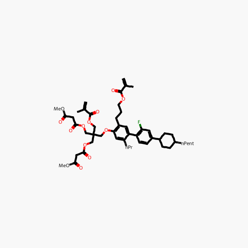 C=C(C)C(=O)OCCCc1cc(-c2ccc(C3CCC(CCCCC)CC3)cc2F)c(CCC)cc1OCC(COC(=O)CC(=O)OC)(COC(=O)CC(=O)OC)COC(=O)C(=C)C